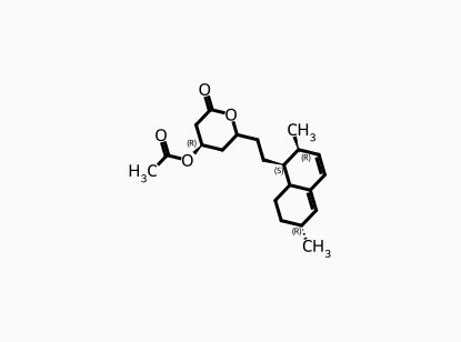 CC(=O)O[C@H]1CC(=O)OC(CC[C@@H]2C3CC[C@@H](C)C=C3C=C[C@@H]2C)C1